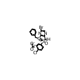 O=[N+]([O-])c1cc(S(=O)(=O)Nc2ncc(Br)nc2OCc2ccccc2)ccc1Cl